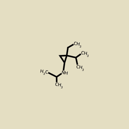 CCC1(C(C)C)CC1NC(C)C